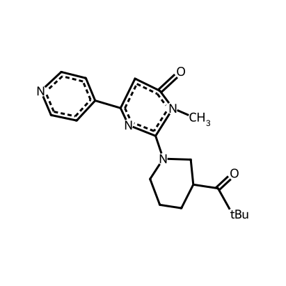 Cn1c(N2CCCC(C(=O)C(C)(C)C)C2)nc(-c2ccncc2)cc1=O